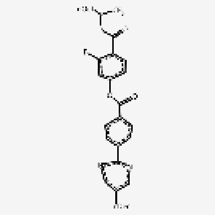 CCCCCCCCCCc1cnc(-c2ccc(C(=O)Oc3ccc(C(=O)OC(CCCCCCCC)C(F)(F)F)c(F)c3)cc2)nc1